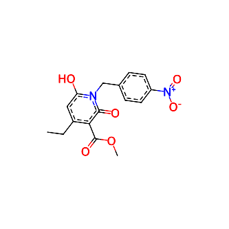 CCc1cc(O)n(Cc2ccc([N+](=O)[O-])cc2)c(=O)c1C(=O)OC